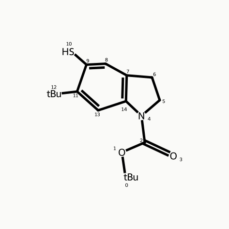 CC(C)(C)OC(=O)N1CCc2cc(S)c(C(C)(C)C)cc21